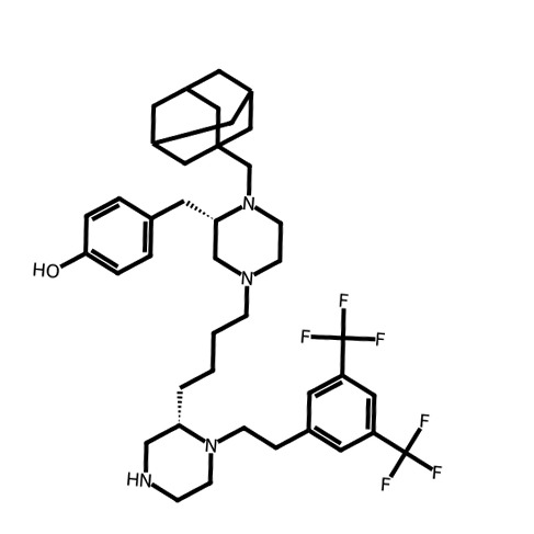 Oc1ccc(C[C@H]2CN(CCCC[C@H]3CNCCN3CCc3cc(C(F)(F)F)cc(C(F)(F)F)c3)CCN2CC23CC4CC(CC(C4)C2)C3)cc1